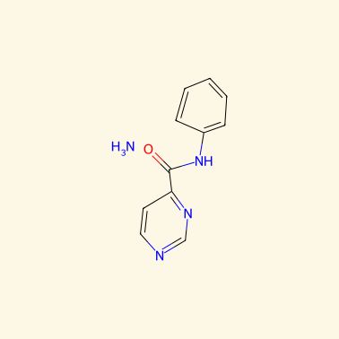 N.O=C(Nc1ccccc1)c1ccncn1